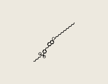 CCCCCCCCCCCCCCCCOc1ccc2cc(CCc3ccc(C(=O)[C@@H](CCCCCC)OC)cc3)ccc2c1